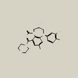 CO[C@H]1Cn2c(=O)nc(N3C[C@@H](C)N[C@@H](C)C3)c3cc(C(F)(F)F)cc(c32)[SH](c2ccc(F)c(Cl)c2)C1